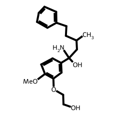 COc1ccc(C(N)(O)CC(C)CCc2ccccc2)cc1OCCO